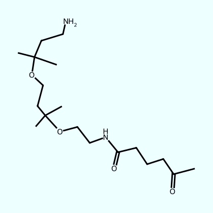 CC(=O)CCCC(=O)NCCOC(C)(C)CCOC(C)(C)CCN